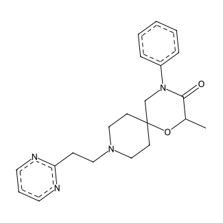 CC1OC2(CCN(CCc3ncccn3)CC2)CN(c2ccccc2)C1=O